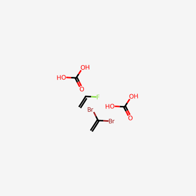 C=C(Br)Br.C=CF.O=C(O)O.O=C(O)O